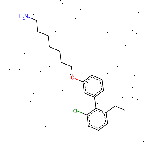 CCc1cccc(Cl)c1-c1cccc(OCCCCCCCN)c1